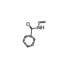 C=CNC(=O)c1ccccc1